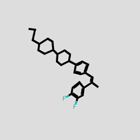 CCCC1CCC(C2CCC(c3ccc(C=C(C)c4ccc(F)c(F)c4)cc3)CC2)CC1